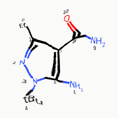 CCc1nn(C(C)(C)C)c(N)c1C(N)=O